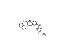 Cc1cc(Nc2ccc3nc(N)c([C@@H]4CCc5ccccc54)cc3c2)no1